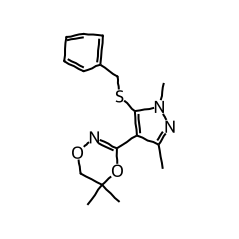 Cc1nn(C)c(SCc2ccccc2)c1C1=NOCC(C)(C)O1